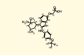 CC1CC(n2c(Nc3ccc(OC(F)(F)F)cc3)nc3cc(OCC(=O)O)ccc32)CC(C)(C)C1